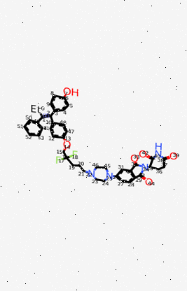 CC/C(=C(\c1ccc(O)cc1)c1ccc(OCC(F)(F)CCCN2CCN(c3ccc4c(c3)C(=O)N(C3CCC(=O)NC3=O)C4=O)CC2)cc1)c1ccccc1